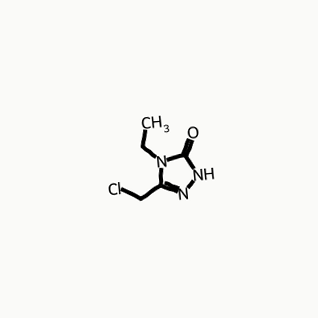 CCn1c(CCl)n[nH]c1=O